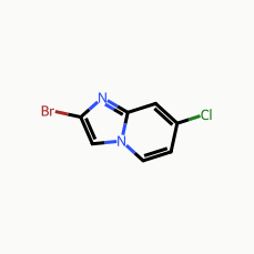 Clc1ccn2cc(Br)nc2c1